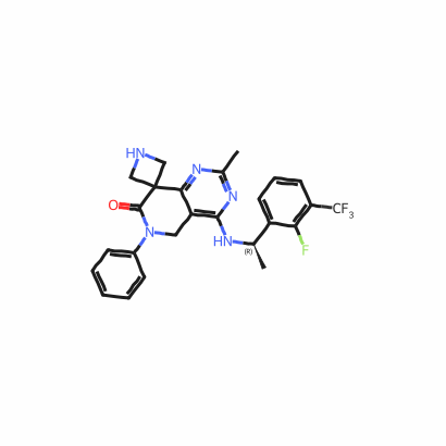 Cc1nc(N[C@H](C)c2cccc(C(F)(F)F)c2F)c2c(n1)C1(CNC1)C(=O)N(c1ccccc1)C2